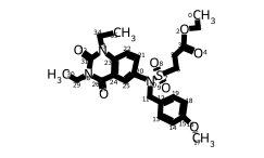 CCOC(=O)CCS(=O)(=O)N(Cc1ccc(OC)cc1)c1ccc2c(c1)c(=O)n(CC)c(=O)n2CC